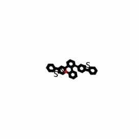 N#Cc1ccccc1-c1c(-c2ccc3c(c2)sc2ccccc23)cccc1-c1ccc2sc3ccccc3c2c1